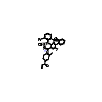 C=CC(=O)N1CCN(/C(=N/C)c2cc(F)c(-c3ccccc3Cl)nc2N(C=O)c2c(C(C)C)ccnc2SC)C(C)C1